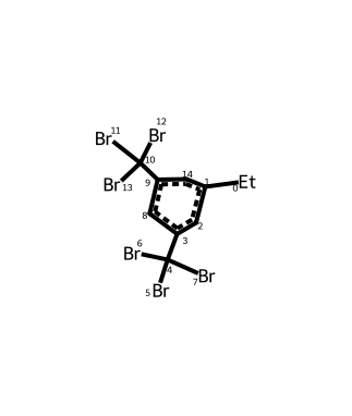 CCc1cc(C(Br)(Br)Br)cc(C(Br)(Br)Br)c1